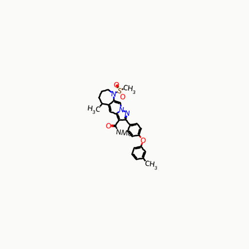 CNC(=O)c1c(-c2ccc(Oc3cccc(C)c3)cc2)nn2cc3c(cc12)C(C)CCCN3S(C)(=O)=O